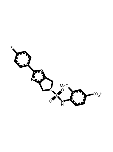 COc1cc(C(=O)O)ccc1NS(=O)(=O)N1Cc2nc(-c3ccc(F)cc3)sc2C1